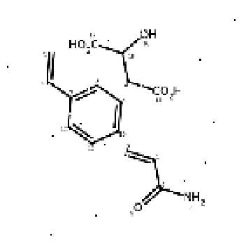 C=CC(N)=O.C=Cc1ccccc1.O=C(O)CC(O)C(=O)O